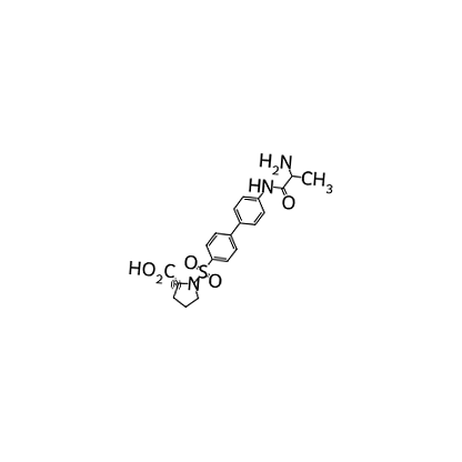 CC(N)C(=O)Nc1ccc(-c2ccc(S(=O)(=O)N3CCC[C@@H]3C(=O)O)cc2)cc1